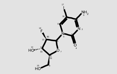 Nc1nc(=O)n(C2O[C@@H](CO)[C@H](O)[C@H]2F)cc1I